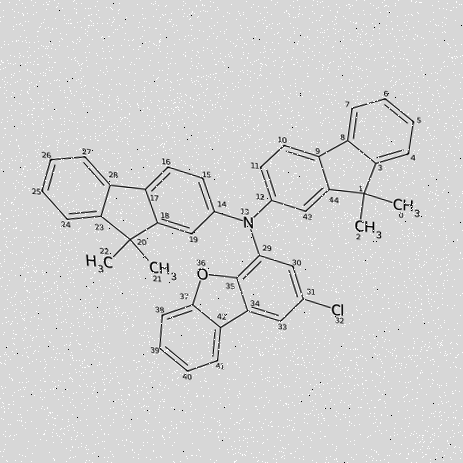 CC1(C)c2ccccc2-c2ccc(N(c3ccc4c(c3)C(C)(C)c3ccccc3-4)c3cc(Cl)cc4c3oc3ccccc34)cc21